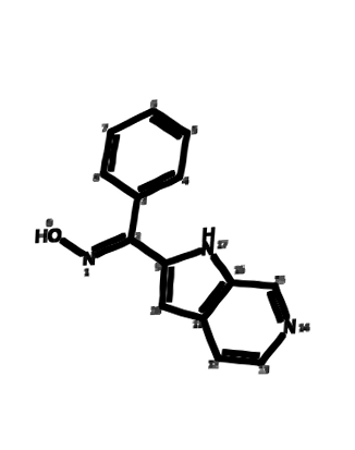 ON=C(c1ccccc1)c1cc2ccncc2[nH]1